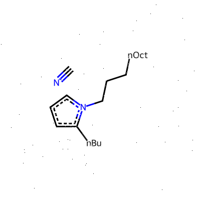 C#N.CCCCCCCCCCCn1cccc1CCCC